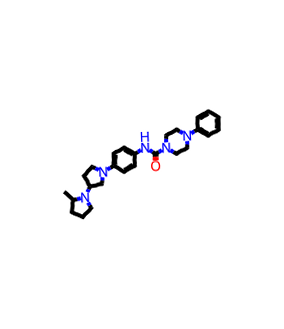 CC1CCCN1C1CCN(c2ccc(NC(=O)N3CCN(c4ccccc4)CC3)cc2)C1